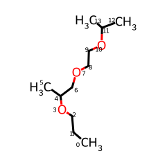 C[CH]COC(C)COCCOC(C)C